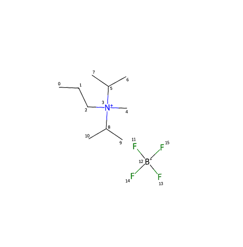 CCC[N+](C)(C(C)C)C(C)C.F[B-](F)(F)F